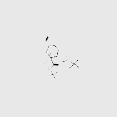 C=C[C@@H]1CC[C@@H](CNC(C)(C)C)[C@@](N)(C(=O)NC(C)(C)C)C1